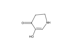 O=C1CCNC=C1O